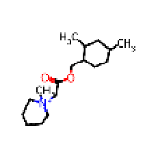 CC1CCC(COC(=O)C[N+]2(C)CCCCC2)C(C)C1